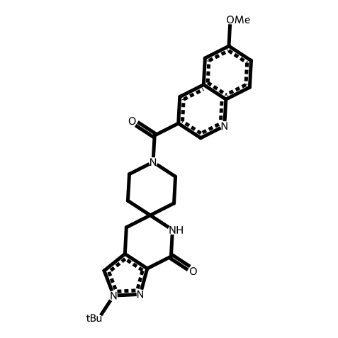 COc1ccc2ncc(C(=O)N3CCC4(CC3)Cc3cn(C(C)(C)C)nc3C(=O)N4)cc2c1